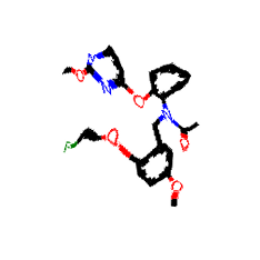 COc1ccc(OCCF)c(CN(C(C)=O)c2ccccc2Oc2ccnc(OC)n2)c1